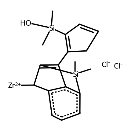 C[Si](C)(O)C1=C(C2=C3[CH]([Zr+2])c4cccc(c42)[Si]3(C)C)CC=C1.[Cl-].[Cl-]